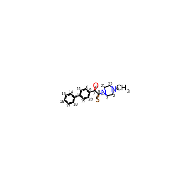 CN1CCN(C(=S)C(=O)c2ccc(-c3ccccc3)cc2)CC1